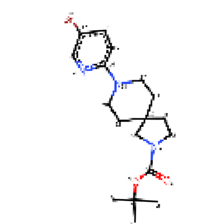 CC(C)(C)OC(=O)N1CCC2(CCN(c3ccc(Br)cn3)CC2)C1